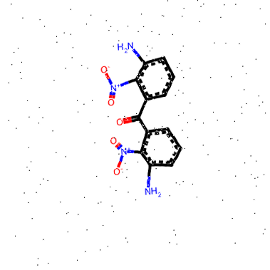 Nc1cccc(C(=O)c2cccc(N)c2[N+](=O)[O-])c1[N+](=O)[O-]